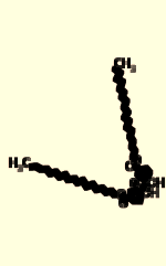 CCCCCCCCCCCCCCCCCCCCOC(=O)c1ccc(O)c(S(=O)(=O)c2cc(C(=O)OCCCCCCCCCCCCCCCCCCCC)ccc2O)c1